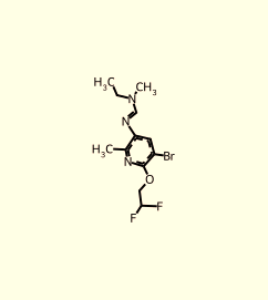 CCN(C)/C=N/c1cc(Br)c(OCC(F)F)nc1C